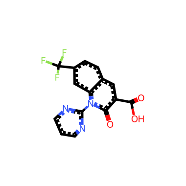 O=C(O)c1cc2ccc(C(F)(F)F)cc2n(-c2ncccn2)c1=O